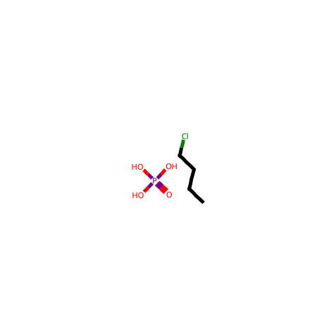 CCCCCl.O=P(O)(O)O